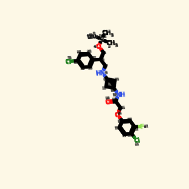 CC(C)(C)[Si](C)(C)OCC(CNC12CC(NC(=O)COc3ccc(Cl)c(F)c3)(C1)C2)c1ccc(Cl)cc1